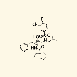 CCC1(C(=O)N[C@@H](Cc2ccccc2)[C@H](O)CN(CC(C)C)S(=O)(=O)c2ccc(F)c(Cl)c2)CCCC1